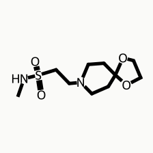 CNS(=O)(=O)CCN1CCC2(CC1)OCCO2